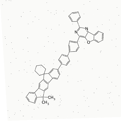 CC1(C)c2ccccc2-c2cc3c(cc21)-c1ccc(-c2ccc(-c4ccc(-c5nc(-c6ccccc6)nc6c5oc5ccccc56)cc4)cc2)cc1C31CCCCC1